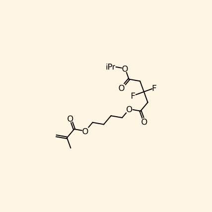 C=C(C)C(=O)OCCCCOC(=O)CC(F)(F)CC(=O)OC(C)C